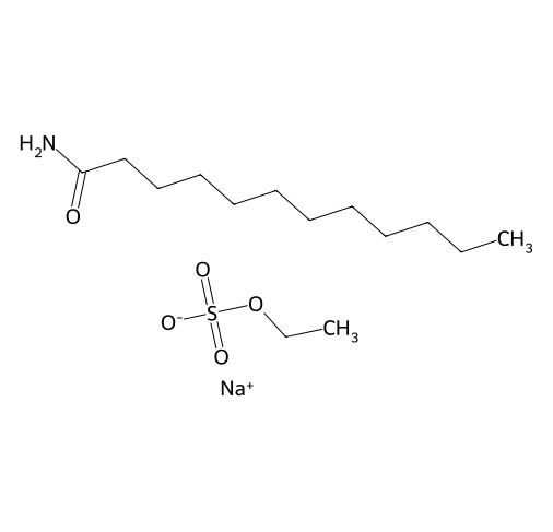 CCCCCCCCCCCC(N)=O.CCOS(=O)(=O)[O-].[Na+]